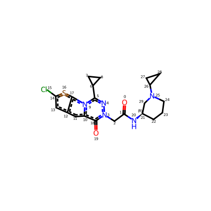 O=C(Cn1nc(C2CC2)n2c(cc3cc(Cl)sc32)c1=O)N[C@@H]1CCCN(C2CC2)C1